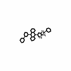 Cn1c(-c2ccccc2)nc2cc(-c3c4ccccc4c(-c4cccc(-c5ccccc5)c4)c4ccccc34)cnc21